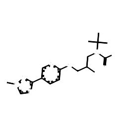 CC(CNc1ccc(-c2ncn(C)n2)cn1)CN(C(=O)O)C(C)(C)C